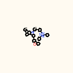 c1ccc(-c2nc(-c3ccccc3)nc(-c3cccc(-c4cccc(-n5c6ccc(-c7ccc8oc9ccccc9c8c7)cc6c6c7cccc8c7c(cc65)-c5ccccc5-8)c4)c3)n2)cc1